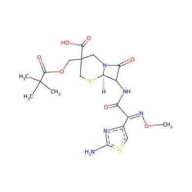 CON=C(C(=O)NC1C(=O)N2CC(COC(=O)C(C)(C)C)(C(=O)O)CS[C@H]12)c1csc(N)n1